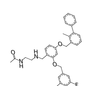 CC(=O)NCCNCc1ccc(OCc2cccc(-c3ccccc3)c2C)cc1OCc1cc(C)cc(F)c1